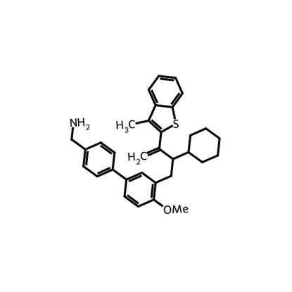 C=C(c1sc2ccccc2c1C)C(Cc1cc(-c2ccc(CN)cc2)ccc1OC)C1CCCCC1